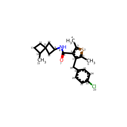 Cc1sc(C)c(C(=O)NC2CC3(CCC3C)C2)c1Cc1ccc(Cl)cc1